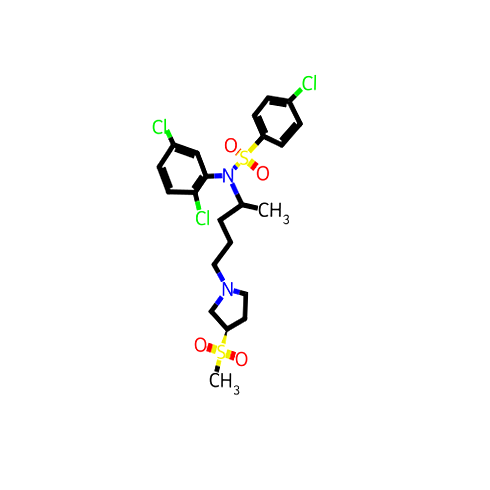 CC(CCCN1CC[C@@H](S(C)(=O)=O)C1)N(c1cc(Cl)ccc1Cl)S(=O)(=O)c1ccc(Cl)cc1